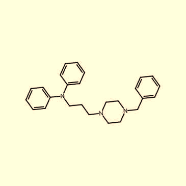 c1ccc(CN2CCN(CCCN(c3ccccc3)c3ccccc3)CC2)cc1